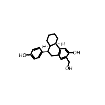 OCc1cc2c(cc1O)[C@@H]1CCCC[C@@H]1[C@H](c1ccc(O)cc1)C2